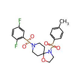 Cc1ccc(S(=O)(=O)N2CCOC23CCN(S(=O)(=O)c2cc(F)ccc2F)CC3)cc1